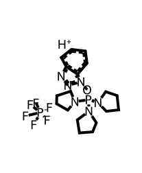 F[P-](F)(F)(F)(F)F.[H+].c1ccc2c(c1)nnn2O[P](N1CCCC1)(N1CCCC1)N1CCCC1